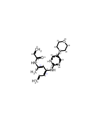 C=C/C=C(\C=C(/C)NC(=O)C=C)Nc1ncc(N2CCOCC2)cn1